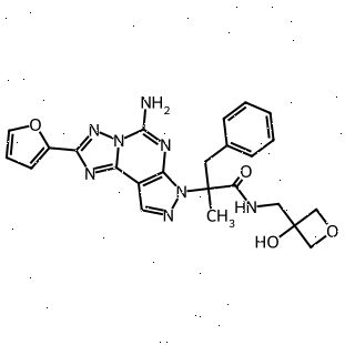 CC(Cc1ccccc1)(C(=O)NCC1(O)COC1)n1ncc2c1nc(N)n1nc(-c3ccco3)nc21